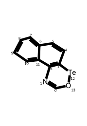 C1=Nc2c(ccc3ccccc23)[Te]O1